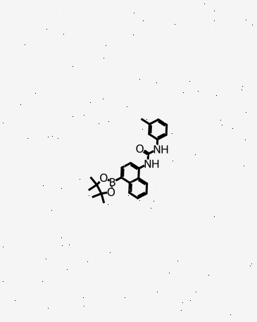 Cc1cccc(NC(=O)Nc2ccc(B3OC(C)(C)C(C)(C)O3)c3ccccc23)c1